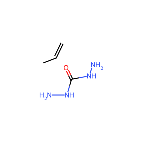 C=CC.NNC(=O)NN